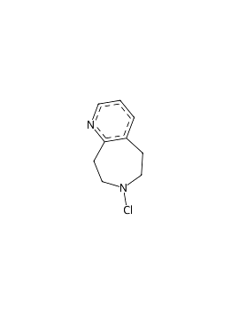 ClN1CCc2cccnc2CC1